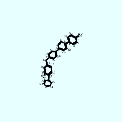 Brc1ccc(-c2ccc(-c3ccc(Cc4ccc5c(c4)sc4ccccc45)cc3)cc2)cc1